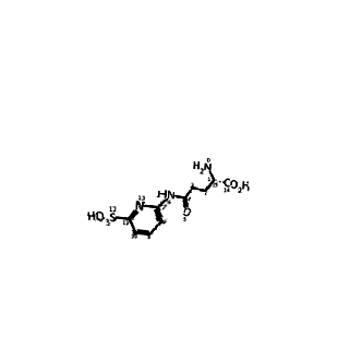 N[C@@H](CCC(=O)Nc1cccc(S(=O)(=O)O)n1)C(=O)O